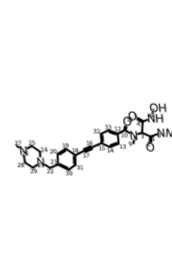 CNC(=O)C(C(=O)NO)N(C)C(=O)c1ccc(C#Cc2ccc(CN3CCN(C)CC3)cc2)cc1